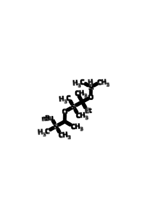 CCCC[Si](C)(C)C(C)O[Si](C)(C)C(C)(CC)O[SiH](C)C